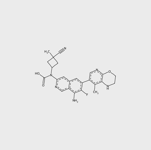 Cc1c(-c2cc3cc(N(C(=O)O)C4CC(C)(C#N)C4)ncc3c(N)c2F)cnc2c1NCCO2